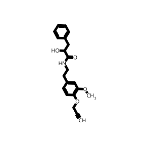 C#CCOc1ccc(CCNC(=O)C(O)Cc2ccccc2)cc1OC